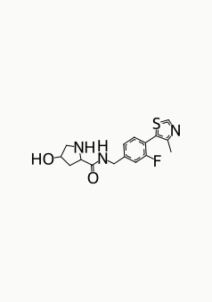 Cc1ncsc1-c1ccc(CNC(=O)C2CC(O)CN2)cc1F